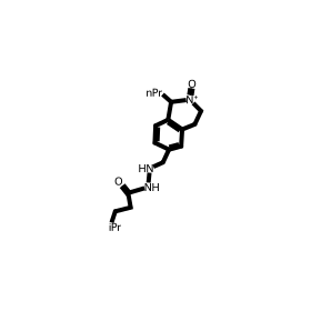 CCCC1c2ccc(CNNC(=O)CCC(C)C)cc2CC[N+]1=O